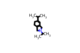 CC(C)C1=CC2=C(CC1)CN(C(C)C)C2